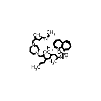 C=C(CC/N=C\C)CN1CCCN(CC(=O)C(CCC)CC(C)CC(C)NS(=O)(=O)C2=CCC#CC3=C2N=CC=CC3)CC1